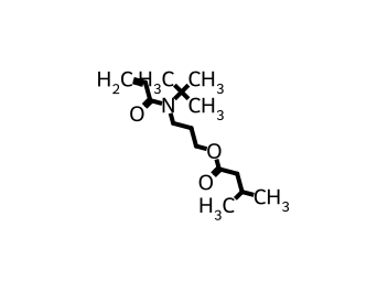 C=CC(=O)N(CCCOC(=O)CC(C)C)C(C)(C)C